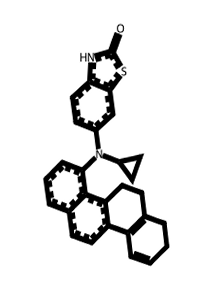 O=c1[nH]c2ccc(N(c3cccc4ccc5c(c34)CCC3=C5C=CCC3)C3CC3)cc2s1